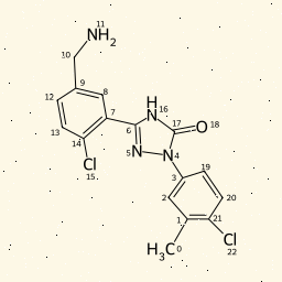 Cc1cc(-n2nc(-c3cc(CN)ccc3Cl)[nH]c2=O)ccc1Cl